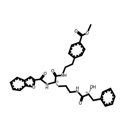 COC(=O)c1ccc(CCNC(=O)[C@H](CCCNC(=O)[C@H](O)Cc2ccccc2)NC(=O)c2cc3ccccc3o2)cc1